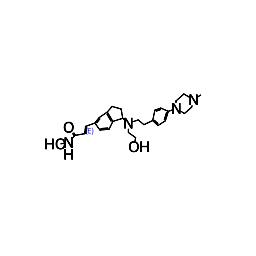 CN1CCN(c2ccc(CCN(CCO)C3CCc4cc(/C=C/C(=O)NO)ccc43)cc2)CC1